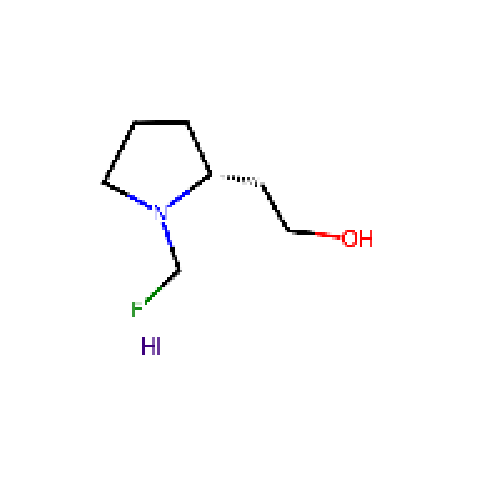 I.OCC[C@H]1CCCN1CF